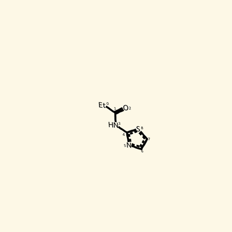 CCC(=O)Nc1nccs1